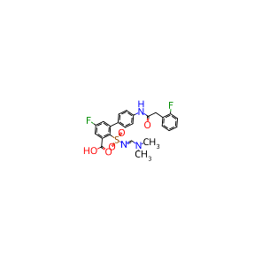 CN(C)C=NS(=O)(=O)c1c(C(=O)O)cc(F)cc1-c1ccc(NC(=O)Cc2ccccc2F)cc1